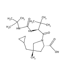 CC(C)(C)NC(=O)N[C@H](C(=O)N1C[C@@](C)(CC2CC2)C[C@H]1C(=O)O)C(C)(C)C